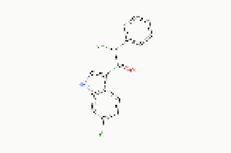 O=C(c1c[nH]c2cc(Cl)ccc12)C(Cl)c1ccccc1